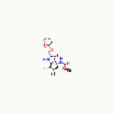 CC(C)(C)OC(=O)Nc1cc(Cl)c(Cl)c2[nH]c(COC3CCCCO3)c(I)c12